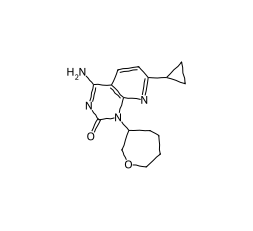 Nc1nc(=O)n(C2CCCCOC2)c2nc(C3CC3)ccc12